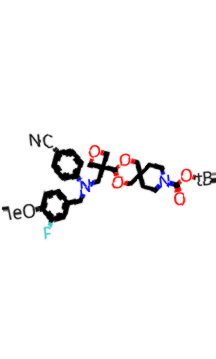 COc1ccc(CN(CC2(C3OCC4(CCN(C(=O)OC(C)(C)C)CC4)CO3)COC2)c2ccc(C#N)cc2)cc1F